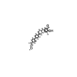 COCOC(C)c1ccc(-c2ccc(N3CCC(Cc4nc(C)c(O)c([C]=O)n4)CC3)cc2)nc1